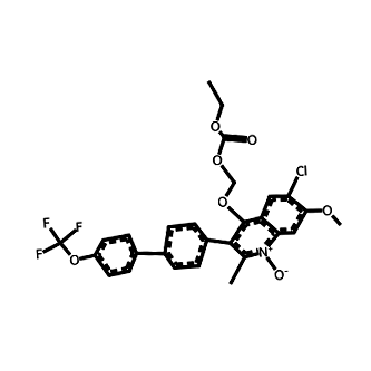 CCOC(=O)OCOc1c(-c2ccc(-c3ccc(OC(F)(F)F)cc3)cc2)c(C)[n+]([O-])c2cc(OC)c(Cl)cc12